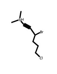 C[SiH](C)C#CC(Br)CCCCl